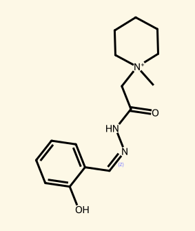 C[N+]1(CC(=O)N/N=C\c2ccccc2O)CCCCC1